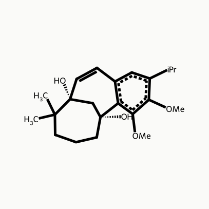 COc1c(C(C)C)cc2c(c1OC)[C@@]1(O)CCCC(C)(C)[C@@](O)(C=C2)C1